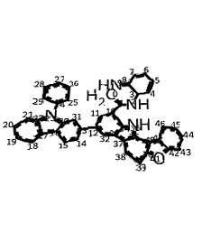 C=C(NC1C=CC=CC1=N)c1cc(-c2ccc3c4ccccc4n(-c4ccccc4)c3c2)cc2c1[nH]c1c2ccc2oc3ccccc3c21